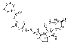 CN(CCC(=O)N1CCCCC1)CC(=O)NCCNc1cccc2c1C(=O)N(C1CCC(=O)NC1=O)C2=O